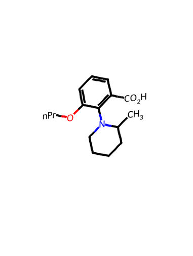 CCCOc1cccc(C(=O)O)c1N1CCCCC1C